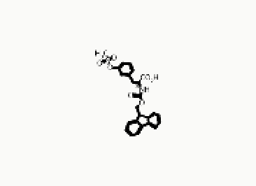 CS(=O)(=O)Oc1cccc(C[C@H](NC(=O)OCC2c3ccccc3-c3ccccc32)C(=O)O)c1